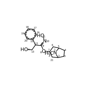 CN1C2CCC1CC(OC(=NO)C(CO)c1ccccc1)C2